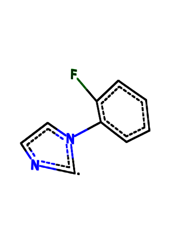 Fc1ccccc1-n1[c]ncc1